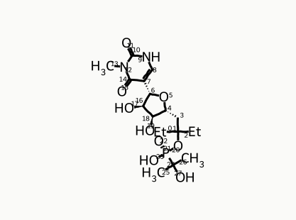 CCC(CC)(C[C@H]1O[C@@H](c2c[nH]c(=O)n(C)c2=O)[C@H](O)[C@@H]1O)OP(=O)(O)C(C)(C)O